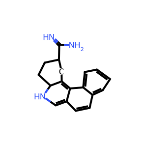 N=C(N)C1CCC2NC=c3ccc4ccccc4c3=C2C1